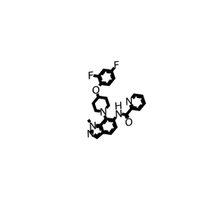 Cn1ncc2ccc(NC(=O)c3ccccn3)c(N3CCC(Oc4ccc(F)cc4F)CC3)c21